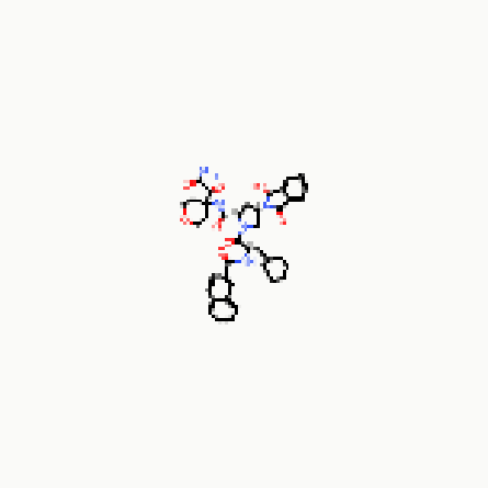 NC(=O)C(=O)C1(NC(=O)[C@@H]2C[C@H](N3C(=O)c4ccccc4C3O)CN2C(=O)[C@@H](CC2CCCCC2)NC(=O)c2ccc3ccccc3c2)CCOCC1